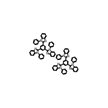 c1ccc(-n2c(-c3cc(-c4nc5ccccc5n4-c4ccccc4)cc(-c4nc5ccccc5n4-c4ccccc4)c3)nc3ccccc32)cc1.c1ccc(-n2c(-c3cc(-c4nc5ccccc5n4-c4ccccc4)cc(-c4nc5ccccc5n4-c4ccccc4)c3)nc3ccccc32)cc1